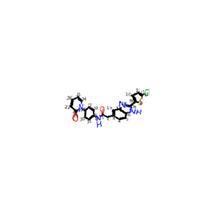 O=C(Cc1ccc2[nH]c(-c3ccc(Cl)s3)nc2c1)Nc1ccc(-n2ccccc2=O)cc1